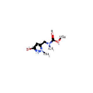 CN(Cc1cc(Br)nn1C)C(=O)OC(C)(C)C